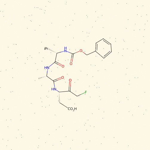 CC(C)[C@H](NC(=O)OCc1ccccc1)C(=O)N[C@@H](C)C(=O)N[C@@H](CC(=O)O)C(=O)CF